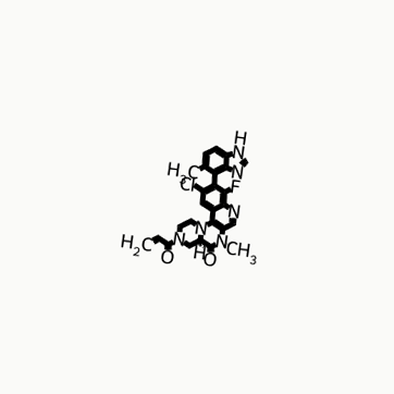 C=CC(=O)N1CCN2c3c(cnc4c(F)c(-c5c(C)ccc6[nH]cnc56)c(Cl)cc34)N(C)C(=O)[C@H]2C1